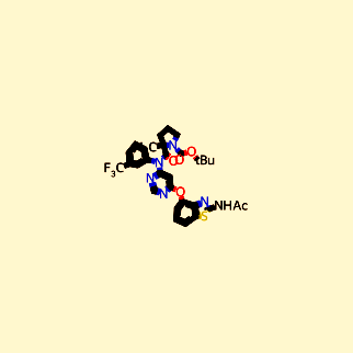 CC(=O)Nc1nc2c(Oc3cc(N(C(=O)C4(C)CCCN4C(=O)OC(C)(C)C)c4cccc(C(F)(F)F)c4)ncn3)cccc2s1